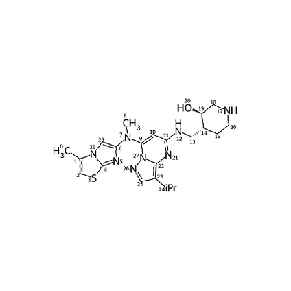 Cc1csc2nc(N(C)c3cc(NC[C@H]4CCNC[C@@H]4O)nc4c(C(C)C)cnn34)cn12